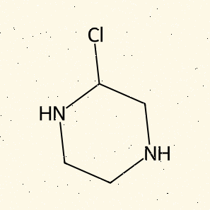 ClC1CNCCN1